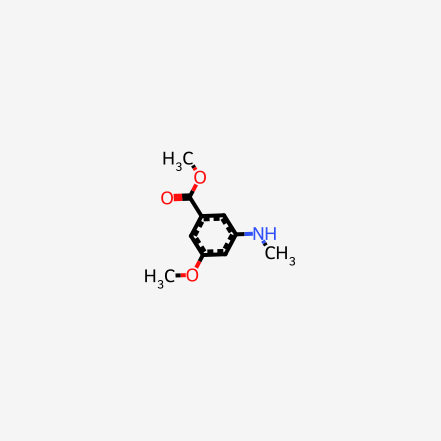 CNc1cc(OC)cc(C(=O)OC)c1